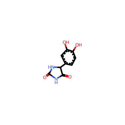 O=C1NC(=O)C(c2ccc(O)c(O)c2)N1